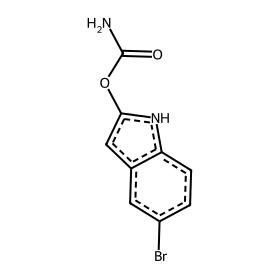 NC(=O)Oc1cc2cc(Br)ccc2[nH]1